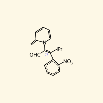 C=C1C=CC=CN1/C(C=O)=C(/c1ccccc1[N+](=O)[O-])C(C)C